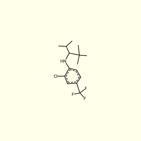 CC(C)C(Nc1ccc(C(F)(F)F)cc1Cl)C(C)(C)C